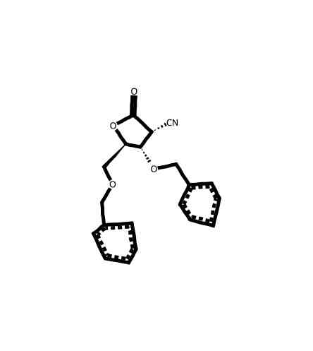 N#C[C@H]1C(=O)O[C@H](COCc2ccccc2)[C@H]1OCc1ccccc1